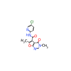 Cc1oc2ncn(C)c(=O)c2c1C(=O)Nc1ccc(Cl)cn1